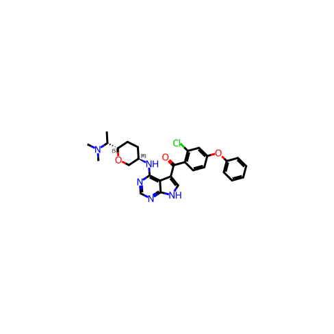 CC([C@@H]1CC[C@@H](Nc2ncnc3[nH]cc(C(=O)c4ccc(Oc5ccccc5)cc4Cl)c23)CO1)N(C)C